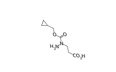 NN(CCC(=O)O)C(=O)OCC1CC1